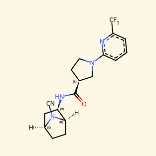 N#CN1[C@H]2CC[C@@H]1[C@H](NC(=O)[C@H]1CCN(c3cccc(C(F)(F)F)n3)C1)C2